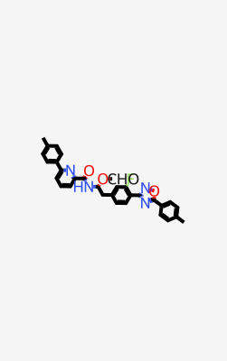 Cc1ccc(-c2cccc(C(=O)NC(Cc3ccc(-c4noc(-c5ccc(C)cc5)n4)c(F)c3)OC=O)n2)cc1